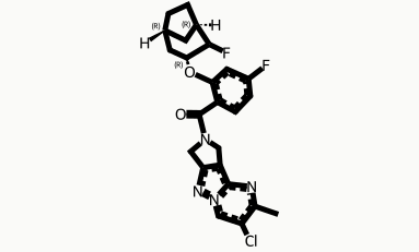 Cc1nc2c3c(nn2cc1Cl)CN(C(=O)c1ccc(F)cc1O[C@@H]1C[C@@H]2CC[C@H](C2)C1F)C3